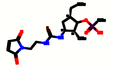 COC[C@H]1C[C@@H](NC(=S)NCCN2C(=O)C=CC2=O)[C@@H](OC)C1OP(=O)(O)OC